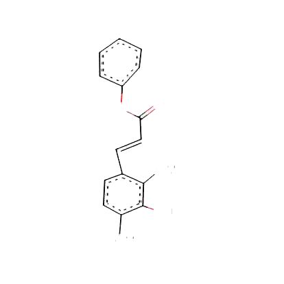 COc1ccc(C=CC(=O)Oc2ccccc2)c(OC)c1O